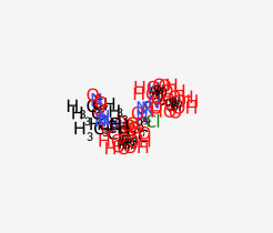 COc1ccc2c(OS(=O)(=O)Oc3cc(C(=O)N(C)CC(C)(C)COCC(C)(C)Cn4cc(C(C)(C)OCC(C)(C)CN5C(=O)C=CC5=O)nn4)ccc3O[C@@H]3O[C@H](C(=O)O)[C@@H](O)[C@H](O)[C@H]3O)cc3c(c2c1)[C@H](CCl)CN3C(=O)c1cn2cc(NC(=O)c3ccc(O[C@@H]4O[C@H](C(=O)O)[C@@H](O)[C@H](O)[C@H]4O)cc3O[C@@H]3O[C@H](C(=O)O)[C@@H](O)[C@H](O)[C@H]3O)ccc2n1